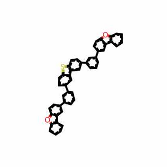 c1cc(-c2ccc3oc4ccccc4c3c2)cc(-c2ccc3sc4ccc(-c5cccc(-c6ccc7oc8ccccc8c7c6)c5)cc4c3c2)c1